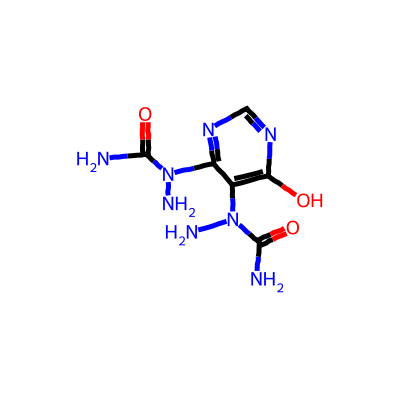 NC(=O)N(N)c1ncnc(O)c1N(N)C(N)=O